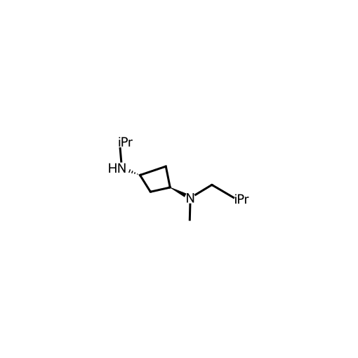 CC(C)CN(C)[C@H]1C[C@H](NC(C)C)C1